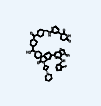 CC(C)n1cnc2cc(-c3ccc4c(c3)N([C@H]3C[C@@H](N5CCCCC5)C3)C(=O)C43CCN(C(O)C4CCN(C(=O)C5CCC(CNc6cc(C7CCC(=O)NC7=O)ccn6)CC5)CC4)CC3)nc(Nc3ccccc3F)c21